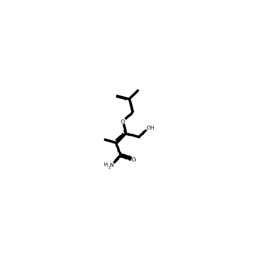 C/C(C(N)=O)=C(/CO)OCC(C)C